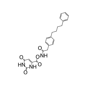 O=C(Cc1ccc(CCCCc2ccccc2)cc1)NOC(=O)c1cc(=O)[nH]c(=O)[nH]1